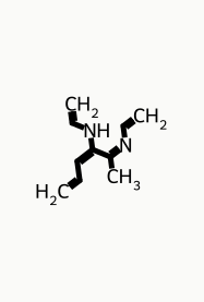 C=C/C=C(NC=C)\C(C)=N/C=C